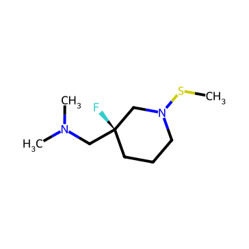 CSN1CCC[C@](F)(CN(C)C)C1